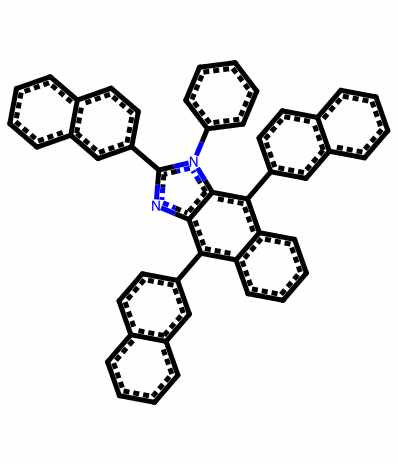 c1ccc(-n2c(-c3ccc4ccccc4c3)nc3c(-c4ccc5ccccc5c4)c4ccccc4c(-c4ccc5ccccc5c4)c32)cc1